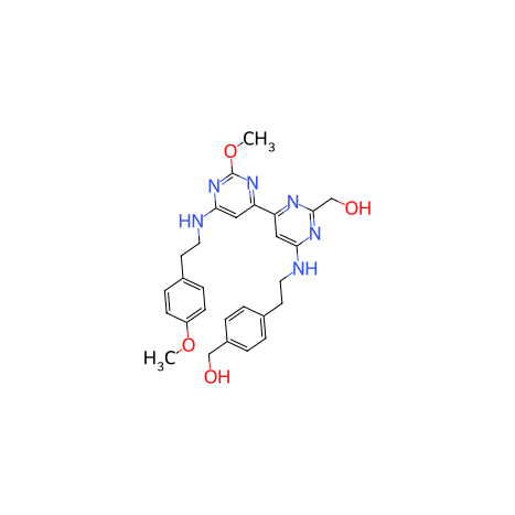 COc1ccc(CCNc2cc(-c3cc(NCCc4ccc(CO)cc4)nc(CO)n3)nc(OC)n2)cc1